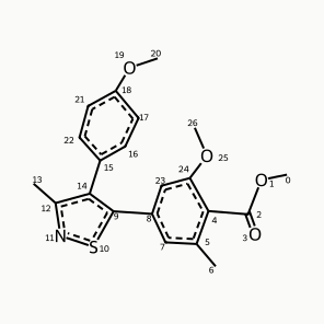 COC(=O)c1c(C)cc(-c2snc(C)c2-c2ccc(OC)cc2)cc1OC